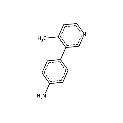 Cc1ccncc1-c1ccc(N)cc1